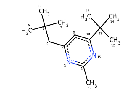 Cc1nc(CC(C)(C)C)cc(C(C)(C)C)n1